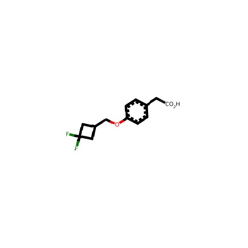 O=C(O)Cc1ccc(OCC2CC(F)(F)C2)cc1